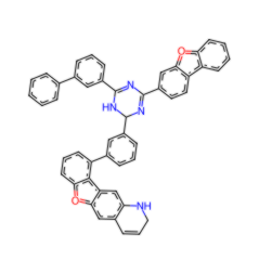 C1=Cc2cc3oc4cccc(-c5cccc(C6N=C(c7ccc8c(c7)oc7ccccc78)N=C(c7cccc(-c8ccccc8)c7)N6)c5)c4c3cc2NC1